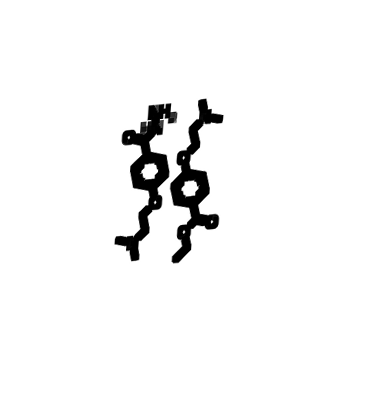 CCOC(=O)c1ccc(OCCN(C)C)cc1.CN(C)CCOc1ccc(C(=O)NN)cc1